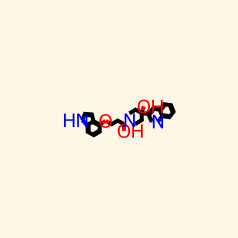 OC(CCOc1cccc2[nH]ccc12)N1CCC(O)(c2cnc3ccccc3c2)CC1